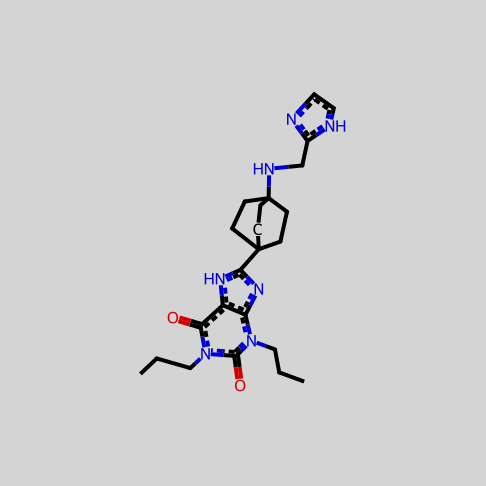 CCCn1c(=O)c2[nH]c(C34CCC(NCc5ncc[nH]5)(CC3)CC4)nc2n(CCC)c1=O